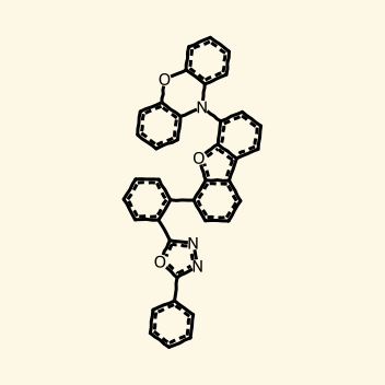 c1ccc(-c2nnc(-c3ccccc3-c3cccc4c3oc3c(N5c6ccccc6Oc6ccccc65)cccc34)o2)cc1